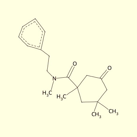 CN(CCc1ccccc1)C(=O)C1(C)CC(=O)CC(C)(C)C1